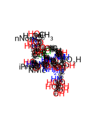 CCCCCCCCCNC1(C)C[C@H](O[C@H]2C(Oc3c4cc5cc3Oc3ccc(cc3Cl)[C@@H](O)[C@@H](NC(=O)[C@@H](CC(C)C)NC)C(=O)N[C@@H](CC(N)=O)C(=O)N[C@H]5C(=O)N[C@@H]3C(=O)N[C@H](C(=O)N[C@H](C(=O)O)c5cc(O)c(CNCCCNC(=O)[C@H](O)[C@@H](O)[C@H](O)[C@H](O)CO)c(O)c5-c5cc3ccc5O)[C@H](O)c3ccc(c(Cl)c3)O4)O[C@H](CO)C(O)C2O)C[C@@H](C)[C@H]1O